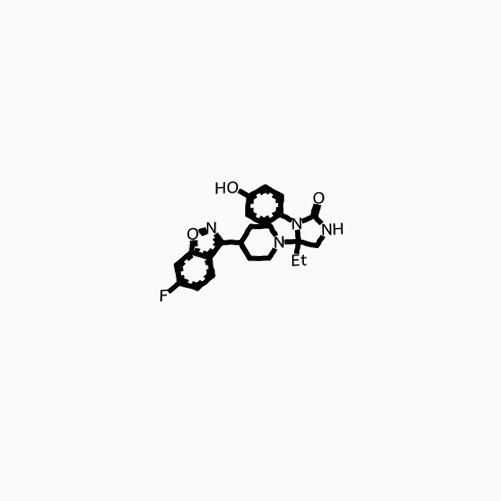 CCC1(N2CCC(c3noc4cc(F)ccc34)CC2)CNC(=O)N1c1ccc(O)cc1